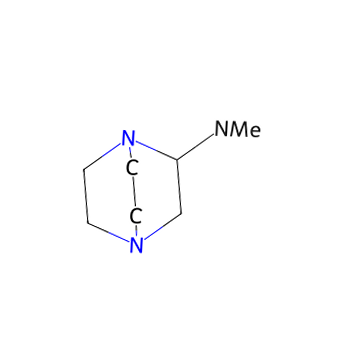 CNC1CN2CCN1CC2